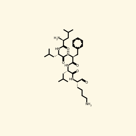 CC(C)C[C@H](NC(=O)[C@H](Cc1ccccc1)NC(=O)[C@H](CC(C)C)NC(=O)[C@@H](N)CC(C)C)C(=O)N[C@H]([C]=O)CCCCN